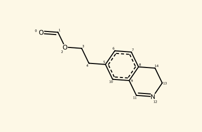 O=COCCc1ccc2c(c1)C=NCC2